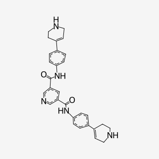 O=C(Nc1ccc(C2=CCNCC2)cc1)c1cncc(C(=O)Nc2ccc(C3=CCNCC3)cc2)c1